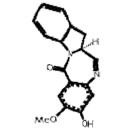 COc1cc2c(cc1O)N=C[C@@H]1CC3C=CC=CC3N1C2=O